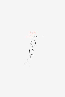 CCCCC(c1ccc(-c2ccc(CCCCS(=O)(=O)O)cc2)cc1)P(=O)(O)O